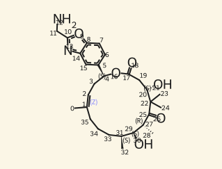 C/C1=C/C[C@@H](c2ccc3oc(CN)nc3c2)OC(=O)C[C@H](O)C(C)(C)C(=O)[C@H](C)[C@@H](O)[C@@H](C)CCC1